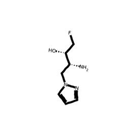 N[C@H](Cn1cccn1)[C@H](O)CF